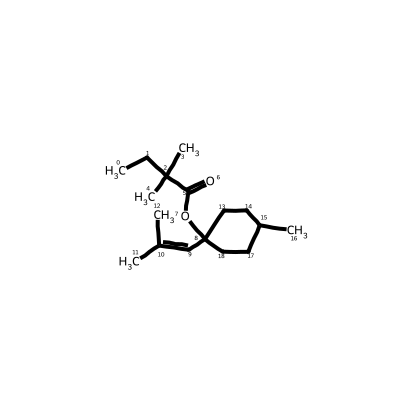 CCC(C)(C)C(=O)OC1(C=C(C)C)CCC(C)CC1